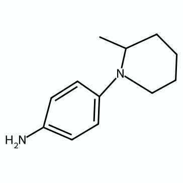 CC1CCCCN1c1ccc(N)cc1